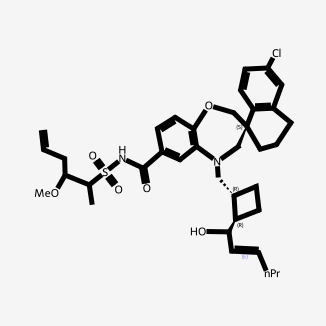 C=CCC(OC)C(C)S(=O)(=O)NC(=O)c1ccc2c(c1)N(C[C@@H]1CC[C@H]1C(O)/C=C/CCC)C[C@@]1(CCCc3cc(Cl)ccc31)CO2